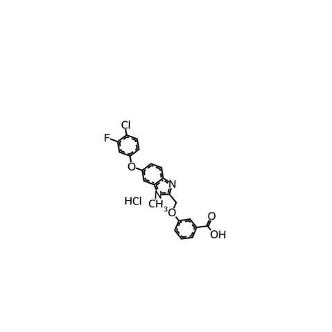 Cl.Cn1c(COc2cccc(C(=O)O)c2)nc2ccc(Oc3ccc(Cl)c(F)c3)cc21